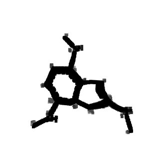 CNC1=Cc2c(NC)ccc(NC)c2C1